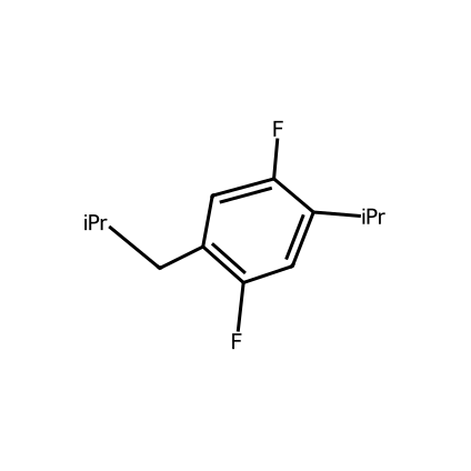 CC(C)Cc1cc(F)c(C(C)C)cc1F